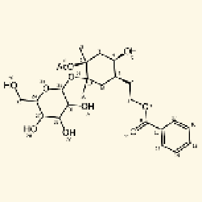 CC(=O)O[C@@]1(C)C[C@@H](O)[C@@H](CCOC(=O)c2ccccc2)CC1(C)OC1OC(CO)C(O)C(O)C1O